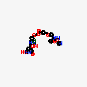 O=C(N[C@@H](c1ccccc1)c1cccc(OCc2ccc(C(=O)OCCOc3ccc(CNCC(O)c4ccc(O)c5[nH]c(=O)ccc45)c(Cl)c3)cc2)c1)OC1CN2CCC1CC2